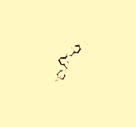 N#Cc1ccc(COc2cccc(CN3CCN(C(=O)O)CC3)n2)nc1